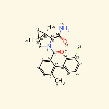 Cc1cccc(C(=O)N2C[C@H]3C[C@H]3[C@H]2C(N)=O)c1-c1cccc(F)c1